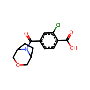 O=C(O)c1ccc(C(=O)N2C3CCC2COC3)cc1Cl